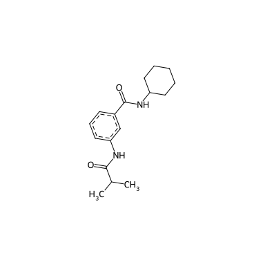 CC(C)C(=O)Nc1cccc(C(=O)NC2CCCCC2)c1